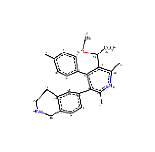 Cc1ccc(-c2c(-c3ccc4c(c3)CCNC4)c(C)nc(C)c2C(OC(C)(C)C)C(=O)O)cc1